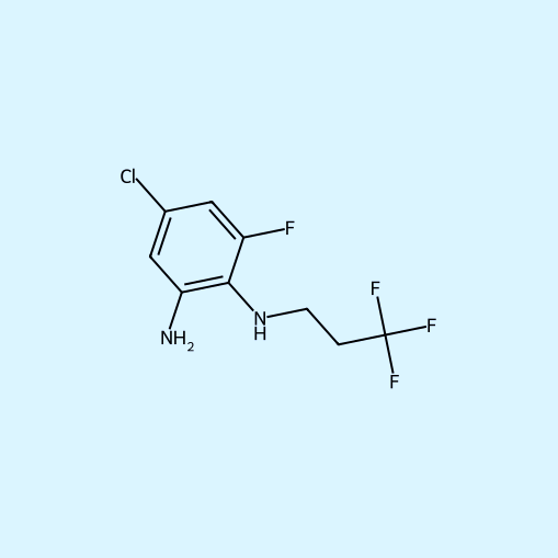 Nc1cc(Cl)cc(F)c1NCCC(F)(F)F